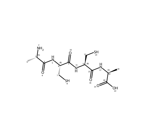 C[C@H](N)C(=O)N[C@@H](CS)C(=O)N[C@@H](CS)C(=O)N[C@@H](C)C(=O)O